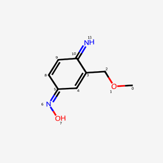 COCC1=C/C(=N\O)C=CC1=N